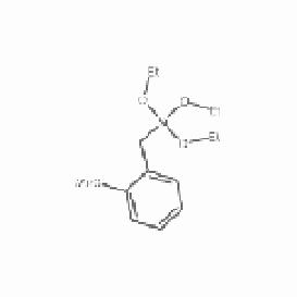 CCO[Si](Cc1ccccc1OC)(OCC)OCC